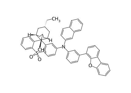 CC[C@@H]1C[C@H]2C[C@H](C)C[C@@H](C1)C21c2ccccc2S(=O)(=O)c2ccc(N(c3cccc(-c4cccc5c4oc4ccccc45)c3)c3ccc4ccccc4c3)cc21